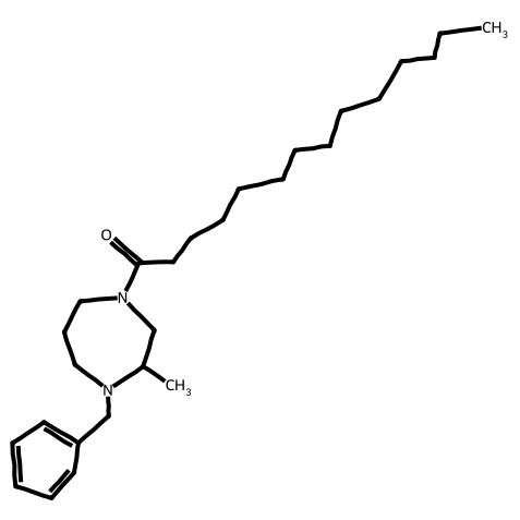 CCCCCCCCCCCCCC(=O)N1CCCN(Cc2ccccc2)C(C)C1